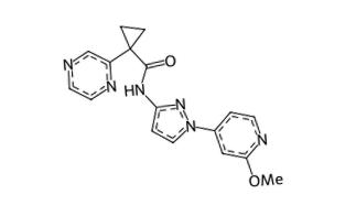 COc1cc(-n2ccc(NC(=O)C3(c4cnccn4)CC3)n2)ccn1